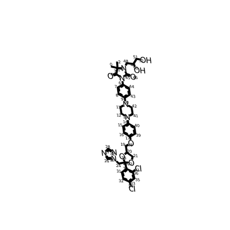 CC1(C)C(=O)N(c2ccc(N3CCN(c4ccc(OCC5COC(Cn6cncn6)(c6ccc(Cl)cc6Cl)O5)cc4)CC3)cc2)C(=O)N1CC(O)CO